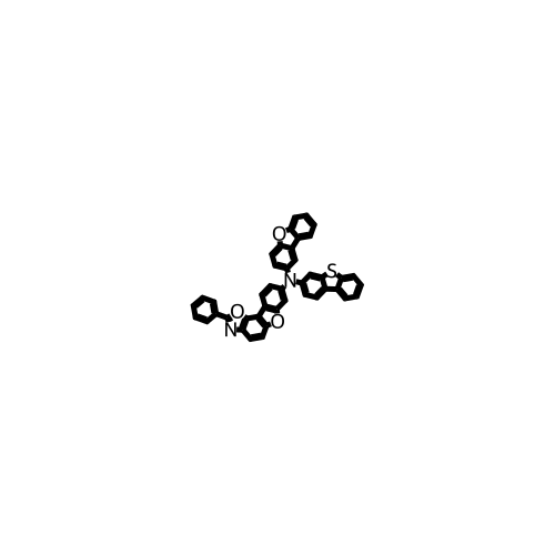 c1ccc(-c2nc3ccc4oc5cc(N(c6ccc7c(c6)sc6ccccc67)c6ccc7oc8ccccc8c7c6)ccc5c4c3o2)cc1